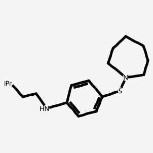 CC(C)CCNc1ccc(SN2CCCCCC2)cc1